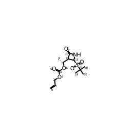 C=CCOC(=O)O[C@H](C)C1C(=O)NC1S(=O)(=O)C(C)(C)C